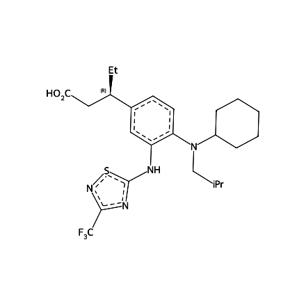 CC[C@H](CC(=O)O)c1ccc(N(CC(C)C)C2CCCCC2)c(Nc2nc(C(F)(F)F)ns2)c1